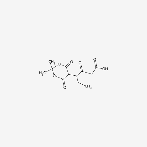 CCC(C(=O)CC(=O)O)C1C(=O)OC(C)(C)OC1=O